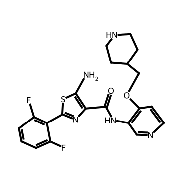 Nc1sc(-c2c(F)cccc2F)nc1C(=O)Nc1cnccc1OCC1CCNCC1